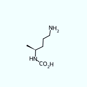 C[C@@H](CCCN)NC(=O)O